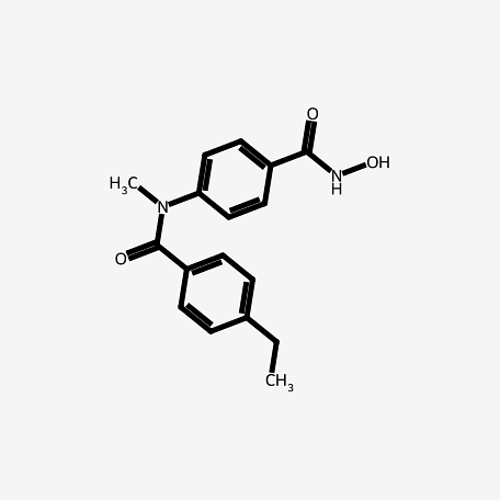 CCc1ccc(C(=O)N(C)c2ccc(C(=O)NO)cc2)cc1